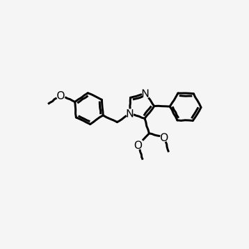 COc1ccc(Cn2cnc(-c3ccccc3)c2C(OC)OC)cc1